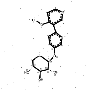 COc1ccncc1-c1ccc(O[C@@H]2SC[C@@H](O)[C@H](O)[C@H]2O)cn1